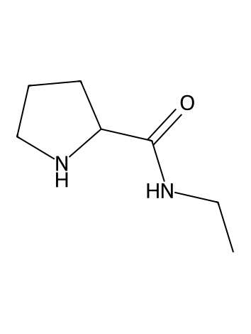 CCNC(=O)C1CCCN1